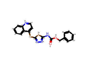 O=C(Nc1nnc(Sc2ccnc3ccccc23)s1)OCc1ccccc1